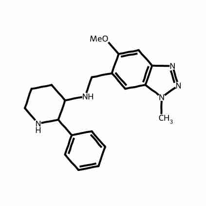 COc1cc2nnn(C)c2cc1CNC1CCCNC1c1ccccc1